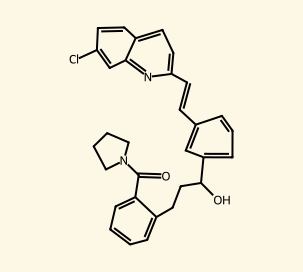 O=C(c1ccccc1CCC(O)c1cccc(C=Cc2ccc3ccc(Cl)cc3n2)c1)N1CCCC1